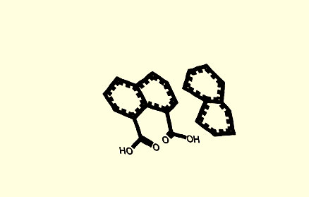 O=C(O)c1cccc2cccc(C(=O)O)c12.c1ccc2ccccc2c1